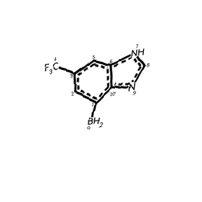 Bc1cc(C(F)(F)F)cc2[nH]cnc12